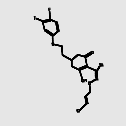 CC/C(=N/OC/C=C/Cl)C1=C(O)CC(CCSc2ccc(F)c(F)c2)CC1=O